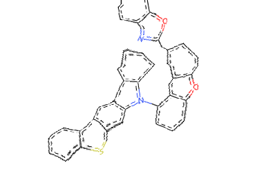 c1ccc2oc(-c3ccc4oc5cccc(-n6c7ccccc7c7cc8c(cc76)sc6ccccc68)c5c4c3)nc2c1